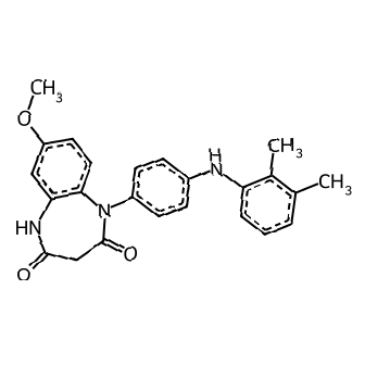 COc1ccc2c(c1)NC(=O)CC(=O)N2c1ccc(Nc2cccc(C)c2C)cc1